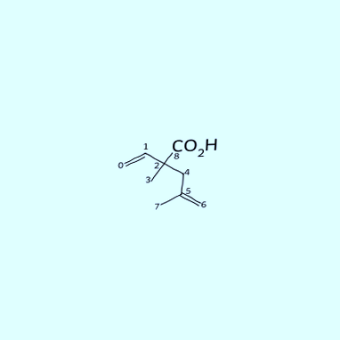 C=CC(C)(CC(=C)C)C(=O)O